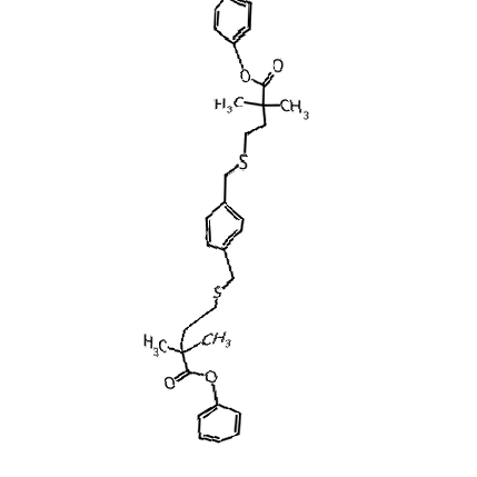 CC(C)(CCSCc1ccc(CSCCC(C)(C)C(=O)Oc2ccccc2)cc1)C(=O)Oc1ccccc1